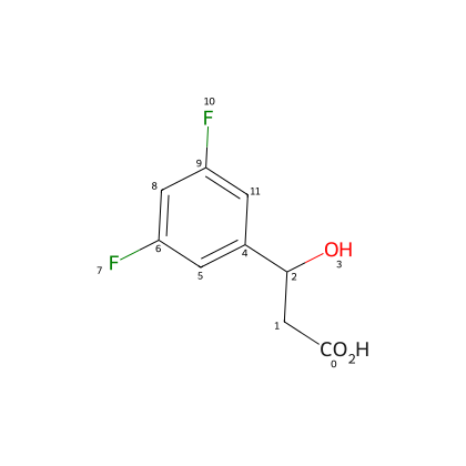 O=C(O)CC(O)c1cc(F)cc(F)c1